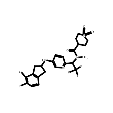 CN(C(=O)C1CCS(=O)(=O)CC1)C(c1ccc(NC2Cc3ccc(F)c(Cl)c3C2)cn1)C(F)(F)F